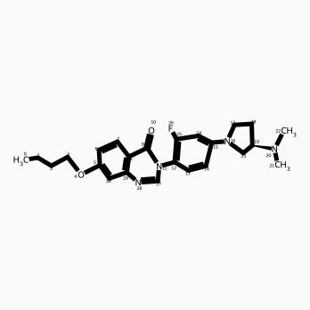 CCCCOc1ccc2c(=O)n(-c3ccc(N4CC[C@@H](N(C)C)C4)cc3F)cnc2c1